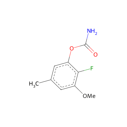 COc1cc(C)cc(OC(N)=O)c1F